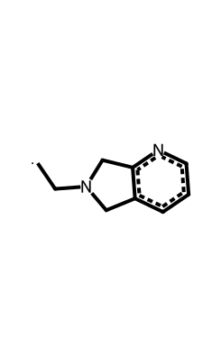 [CH2]CN1Cc2cccnc2C1